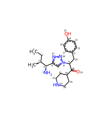 CC[C@H](C)[C@H](N)c1cn(C(Cc2ccc(O)cc2)C(=O)C2CCNCC2)nn1